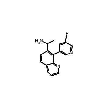 CC(N)c1ccc2cccnc2c1-c1cncc(F)c1